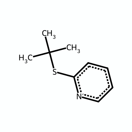 CC(C)(C)Sc1ccccn1